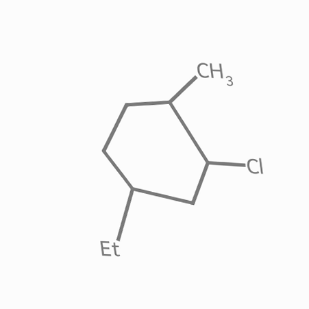 CCC1CCC(C)C(Cl)C1